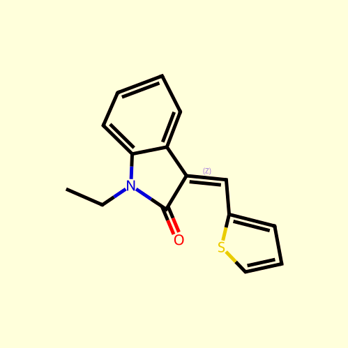 CCN1C(=O)/C(=C\c2cccs2)c2ccccc21